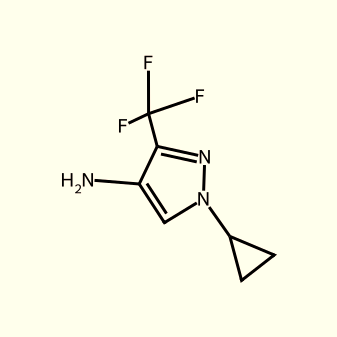 Nc1cn(C2CC2)nc1C(F)(F)F